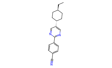 CC[C@H]1CC[C@H](c2cnc(-c3ccc(C#N)cc3)nc2)CC1